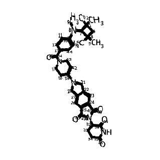 CC1(C)CC(C)(C)C1N(I)c1ccc(C(=O)N2CCC(N3Cc4cc5c(cc4C3)C(=O)N(C3CCC(=O)NC3=O)C5=O)CC2)cc1